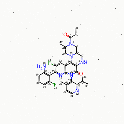 C=CC(=O)N1CC2CNc3c(c4cc(F)c(-c5c(N)cccc5F)nc4n(-c4c(C)ccnc4C(C)C)c3=O)N2CC1C